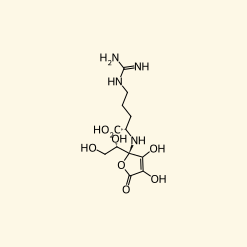 N=C(N)NCCC[C@H](N[C@]1([C@@H](O)CO)OC(=O)C(O)=C1O)C(=O)O